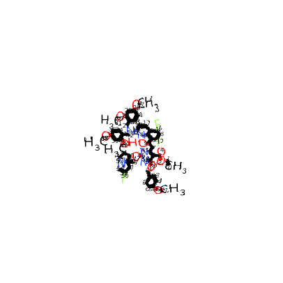 CCOC(=O)c1c(CC(O)c2c(F)cc(F)c3ccc(N(Cc4ccc(OC)cc4OC)Cc4ccc(OC)cc4OC)nc23)nc(OCC23CCCN2C[C@H](F)C3)nc1OCc1ccc(OC)cc1